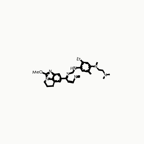 C=N/C=C\C(=N/CNc1cc(C)c(N(C)CCN(C)C)cc1CC)c1cc2c3c(c1)nc(OC)n3CCC2